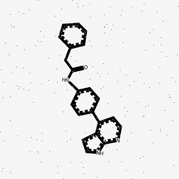 O=C(Cc1ccccc1)Nc1ccc(-c2ccnc3[nH]ccc23)cc1